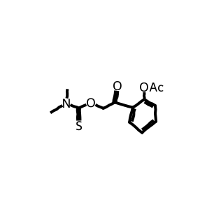 CC(=O)Oc1ccccc1C(=O)COC(=S)N(C)C